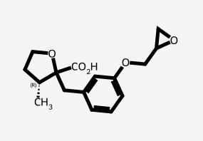 C[C@@H]1CCOC1(Cc1cccc(OCC2CO2)c1)C(=O)O